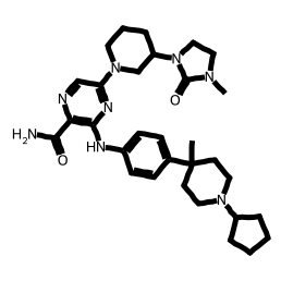 CN1CCN(C2CCCN(c3cnc(C(N)=O)c(Nc4ccc(C5(C)CCN(C6CCCC6)CC5)cc4)n3)C2)C1=O